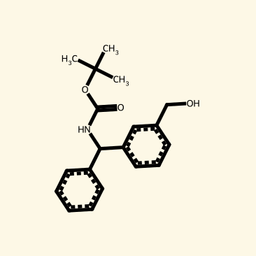 CC(C)(C)OC(=O)NC(c1ccccc1)c1cccc(CO)c1